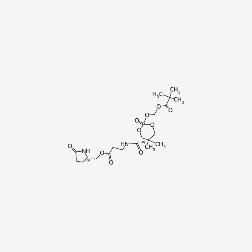 CC(C)(C)C(=O)OCOP1(=O)OCC(C)(C)[C@H](C(=O)NCCC(=O)OC[C@@H]2CCC(=O)N2)O1